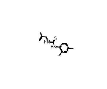 C=C(C)CNC(=S)Nc1ccc(C)cc1C